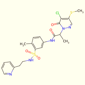 CSc1cnn(C(C)C(=O)Nc2ccc(C)c(S(=O)(=O)NCCc3ccccn3)c2)c(=O)c1Cl